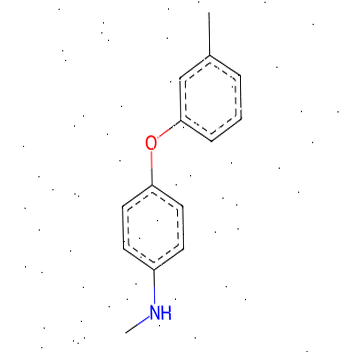 CNc1ccc(Oc2cccc(C)c2)cc1